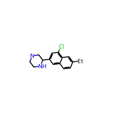 CCc1ccc2cc(C3C[N]CCN3)cc(Cl)c2c1